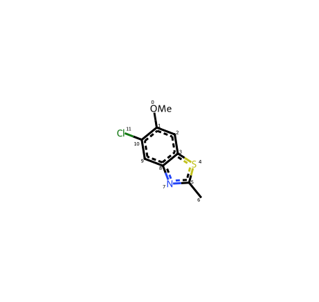 COc1cc2sc(C)nc2cc1Cl